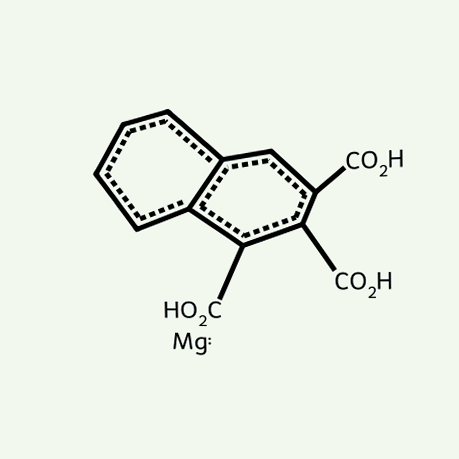 O=C(O)c1cc2ccccc2c(C(=O)O)c1C(=O)O.[Mg]